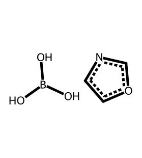 OB(O)O.c1cocn1